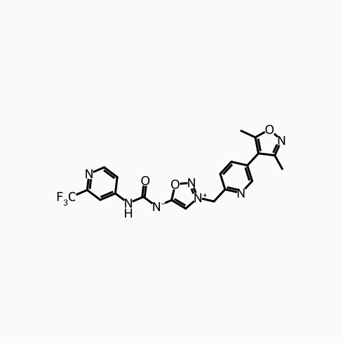 Cc1noc(C)c1-c1ccc(C[n+]2cc([N-]C(=O)Nc3ccnc(C(F)(F)F)c3)on2)nc1